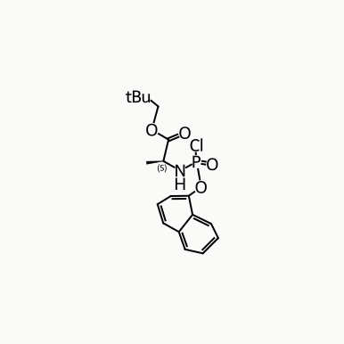 C[C@H](NP(=O)(Cl)Oc1cccc2ccccc12)C(=O)OCC(C)(C)C